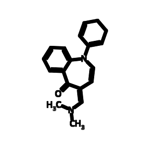 CN(C)C=C1C=CN(C2=CCCC=C2)c2ccccc2C1=O